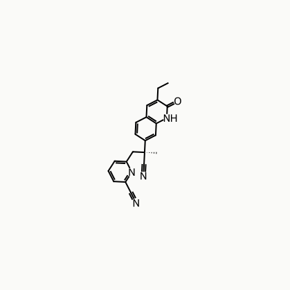 CCc1cc2ccc([C@@](C)(C#N)Cc3cccc(C#N)n3)cc2[nH]c1=O